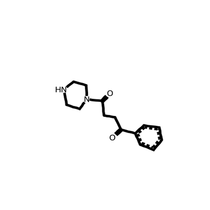 O=C(CCC(=O)N1CCNCC1)c1ccccc1